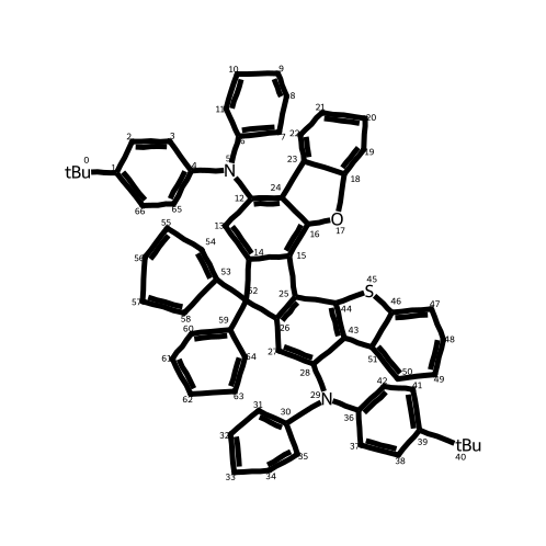 CC(C)(C)c1ccc(N(c2ccccc2)c2cc3c(c4oc5ccccc5c24)-c2c(cc(N(c4ccccc4)c4ccc(C(C)(C)C)cc4)c4c2sc2ccccc24)C3(c2ccccc2)c2ccccc2)cc1